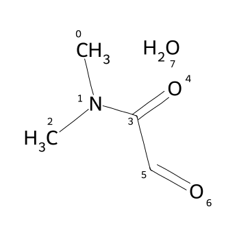 CN(C)C(=O)C=O.O